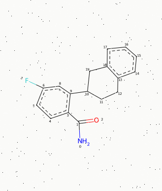 NC(=O)c1ccc(F)cc1C1CCc2ccccc2C1